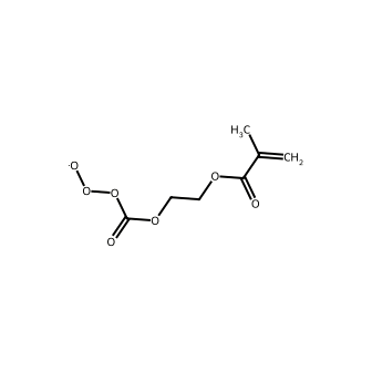 C=C(C)C(=O)OCCOC(=O)OO[O]